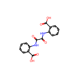 O=C(Nc1ccccc1C(=O)O)C(=O)Nc1ccccc1C(=O)O